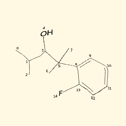 CC(C)C(O)C(C)(C)c1ccccc1F